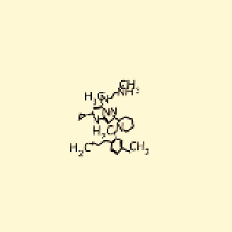 C=CCCc1ccc(C=C)cc1C(=C)N1CCCCC1c1cc2nc(C3CC3)cc(N(C)CCNC)n2n1